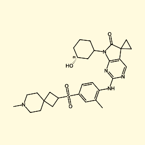 Cc1cc(S(=O)(=O)C2CC3(CCN(C)CC3)C2)ccc1Nc1ncc2c(n1)N(C1CCC[C@@H](O)C1)C(=O)C21CC1